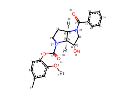 CCOc1cc(C)ccc1OC(=O)N1CC[C@@H]2[C@H]1[C@@H](O)CN2C(=O)c1ccccc1